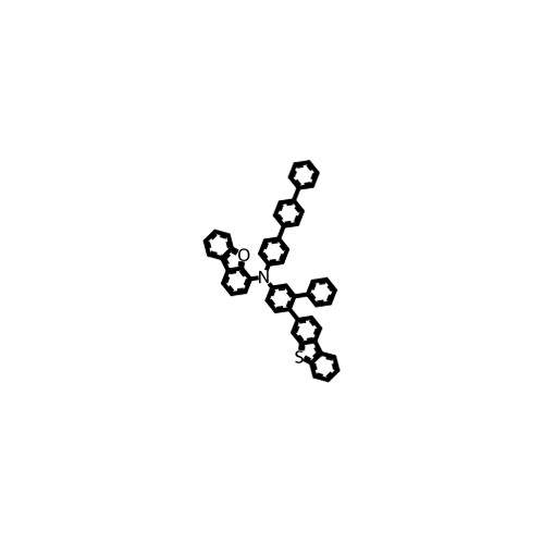 c1ccc(-c2ccc(-c3ccc(N(c4ccc(-c5ccc6c(c5)sc5ccccc56)c(-c5ccccc5)c4)c4cccc5c4oc4ccccc45)cc3)cc2)cc1